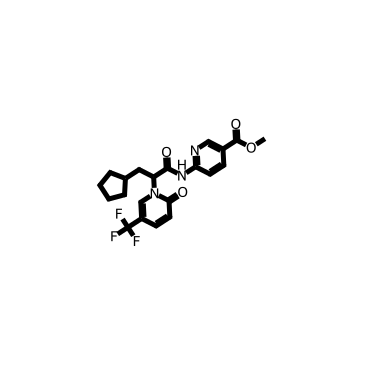 COC(=O)c1ccc(NC(=O)C(CC2CCCC2)n2cc(C(F)(F)F)ccc2=O)nc1